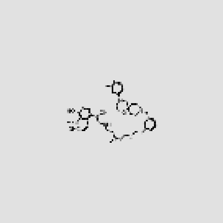 CNc1c(O)ccc(C(O)CNCCN(C)CCOCCc2cccc(CN3CCC4(CC3)CN(c3ccnc(Cl)c3)CCO4)c2)c1/C=C\C=O